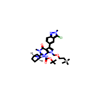 Cn1nc2ccc(-c3cn(COCC[Si](C)(C)C)c4nc(N5[C@H]6CC[C@@H]5[C@H](NC(=O)OC(C)(C)C)C6)n(C)c(=O)c34)cc2c1Cl